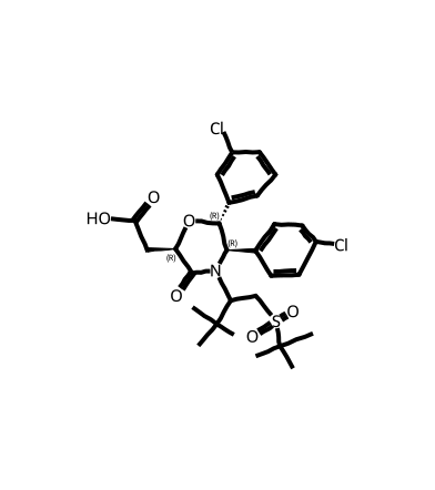 CC(C)(C)C(CS(=O)(=O)C(C)(C)C)N1C(=O)[C@@H](CC(=O)O)O[C@H](c2cccc(Cl)c2)[C@H]1c1ccc(Cl)cc1